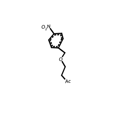 CC(=O)CCOCc1ccc([N+](=O)[O-])cc1